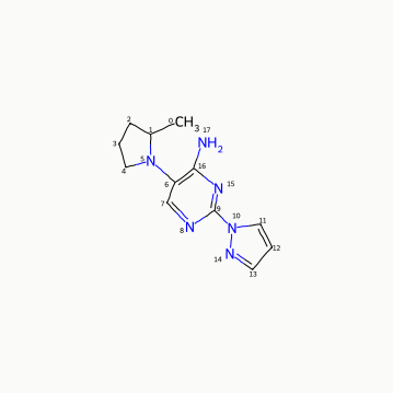 CC1CCCN1c1cnc(-n2cccn2)nc1N